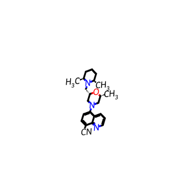 C[C@@H]1CN(c2ccc(C#N)c3ncccc23)C[C@H](CN2[C@H](C)CCC[C@@H]2C)O1